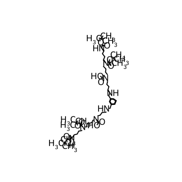 CC(C)(C)OC(=O)NCCCCN(CCCCN(CCCCNCc1cccc(CNCCCCN(CCCCN(CCCCNC(=O)OC(C)(C)C)C(=O)OC(C)(C)C)C(=O)O)c1)C(=O)O)C(=O)OC(C)(C)C